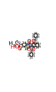 CCC(C(=O)O)c1ccc(N2C(=O)c3c(c(OCc4ccccc4)c4ccccc4c3OCc3ccccc3)C2=O)c(F)c1